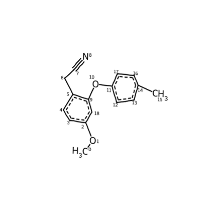 COc1ccc(CC#N)c(Oc2ccc(C)cc2)c1